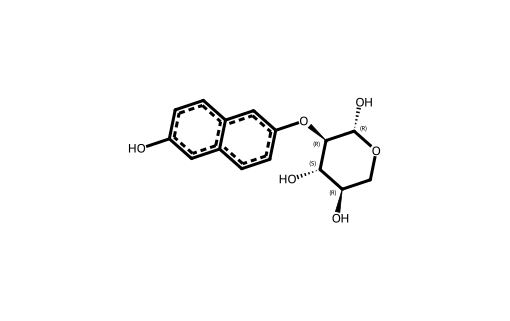 Oc1ccc2cc(O[C@@H]3[C@@H](O)[C@H](O)CO[C@H]3O)ccc2c1